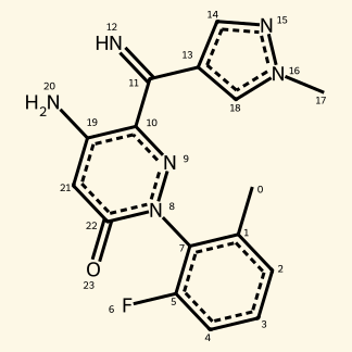 Cc1cccc(F)c1-n1nc(C(=N)c2cnn(C)c2)c(N)cc1=O